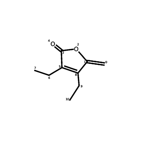 C=C1OC(=O)C(CC)=C1CC